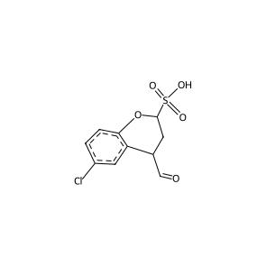 O=CC1CC(S(=O)(=O)O)Oc2ccc(Cl)cc21